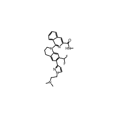 CNC(=O)c1cc2ccccc2c(N2CCCc3cc(-c4ccn(CCN(C)C)n4)c(C(F)F)cc32)n1